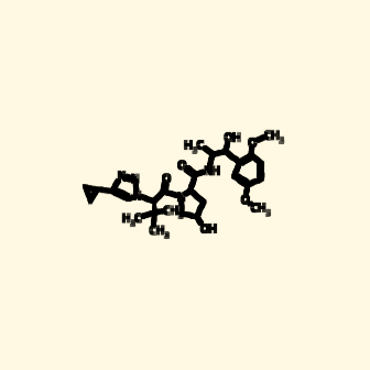 COc1ccc(OC)c(C(O)C(C)NC(=O)C2CC(O)CN2C(=O)[C@H](n2cc(C3CC3)nn2)C(C)(C)C)c1